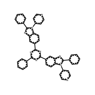 c1ccc(-c2nc(-c3ccc4c(c3)nc(-c3ccccc3)n4-c3ccncc3)nc(-c3ccc4c(c3)nc(-c3ccccc3)n4-c3ccncc3)n2)cc1